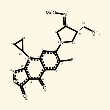 CO/N=C1\CN(c2cc3c(cc2F)c(=O)c2c(=O)[nH]sc2n3C2CC2)C[C@H]1CN